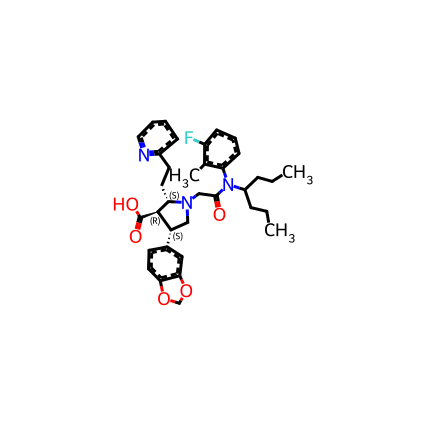 CCCC(CCC)N(C(=O)CN1C[C@H](c2ccc3c(c2)OCO3)[C@@H](C(=O)O)[C@@H]1CCc1ccccn1)c1cccc(F)c1C